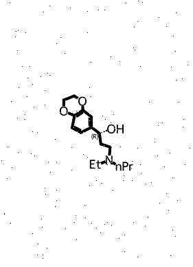 CCCN(CC)CC[C@@H](O)c1ccc2c(c1)OCCO2